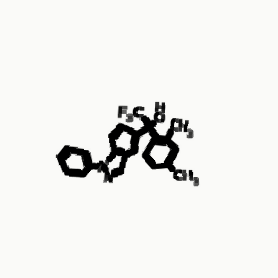 Cc1ccc(C(O)(c2ccc3c(cnn3-c3ccccc3)c2)C(F)(F)F)c(C)c1